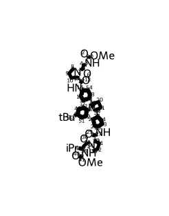 COC(=O)NCC(=O)N1CCC[C@H]1C(=O)Nc1ccc([C@@H]2CC[C@@H](c3ccc(NC(=O)[C@@H]4CCCN4C(=O)C(NC(=O)OC)C(C)C)cc3)N2c2ccc(C(C)(C)C)cc2)cc1